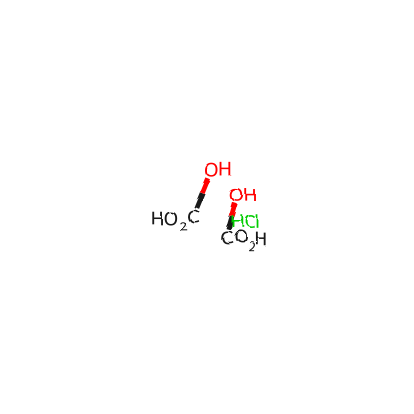 Cl.O=C(O)O.O=C(O)O